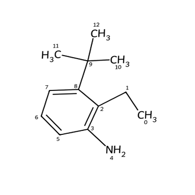 CCc1c(N)cccc1C(C)(C)C